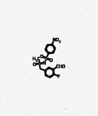 CS(=O)(Cc1ccc(F)c(C=O)c1)=NS(=O)(=O)c1ccc([N+](=O)[O-])cc1